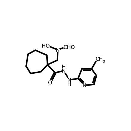 Cc1ccnc(NNC(=O)C2(CN(O)C=O)CCCCCC2)c1